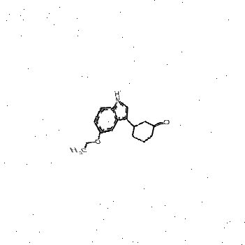 CCOc1ccc2[nH]cc(C3CCCC(=O)C3)c2c1